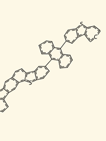 c1ccc2c(c1)sc1ccc(-c3c4ccccc4c(-c4ccc5sc6c7cc8c(cc7ccc6c5c4)sc4ccccc48)c4ccccc34)cc12